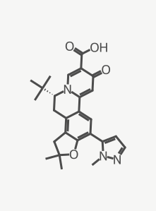 Cn1nccc1-c1cc2c(c3c1OC(C)(C)C3)C[C@H](C(C)(C)C)n1cc(C(=O)O)c(=O)cc1-2